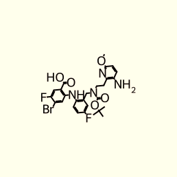 COc1ccc(N)c(CCN(Cc2cc(F)ccc2Nc2cc(Br)c(F)cc2C(=O)O)C(=O)OC(C)(C)C)n1